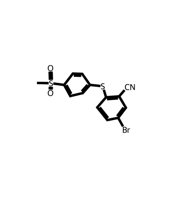 CS(=O)(=O)c1ccc(Sc2ccc(Br)cc2C#N)cc1